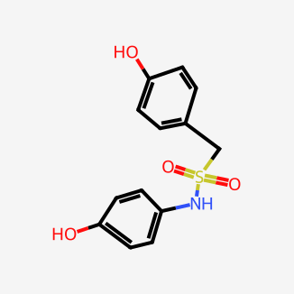 O=S(=O)(Cc1ccc(O)cc1)Nc1ccc(O)cc1